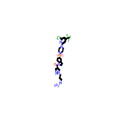 NCCCn1cc(C(=O)n2ccc3cc(S(=O)(=O)N4CCN(c5cc(C(F)(F)F)cc(Cl)n5)CC4)ccc32)cn1